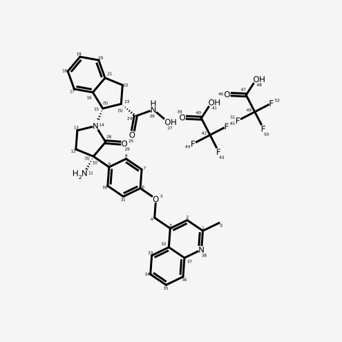 Cc1cc(COc2ccc([C@@]3(N)CCN([C@@H]4c5ccccc5C[C@@H]4C(=O)NO)C3=O)cc2)c2ccccc2n1.O=C(O)C(F)(F)F.O=C(O)C(F)(F)F